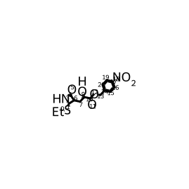 CCSC1NC(=O)C1CC(O)C(=O)OCc1ccc([N+](=O)[O-])cc1